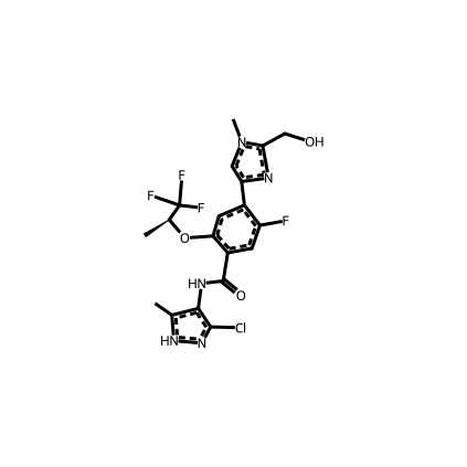 Cc1[nH]nc(Cl)c1NC(=O)c1cc(F)c(-c2cn(C)c(CO)n2)cc1O[C@@H](C)C(F)(F)F